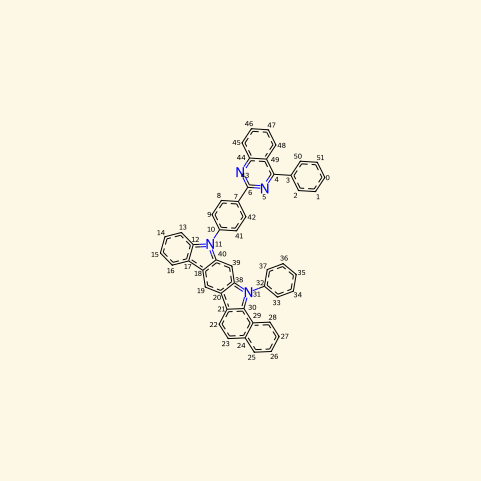 c1ccc(-c2nc(-c3ccc(-n4c5ccccc5c5cc6c7ccc8ccccc8c7n(-c7ccccc7)c6cc54)cc3)nc3ccccc23)cc1